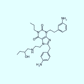 CCCn1c(=O)c2c(nc(Cc3ccc(N)cc3)n2CCNCC(O)CC)n(CCc2cccc(N)c2)c1=O